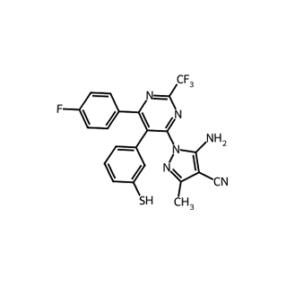 Cc1nn(-c2nc(C(F)(F)F)nc(-c3ccc(F)cc3)c2-c2cccc(S)c2)c(N)c1C#N